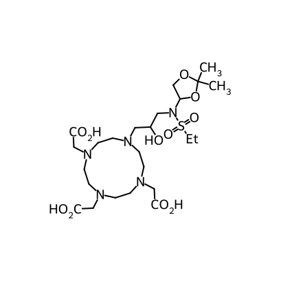 CCS(=O)(=O)N(CC(O)CN1CCN(CC(=O)O)CCN(CC(=O)O)CCN(CC(=O)O)CC1)C1COC(C)(C)O1